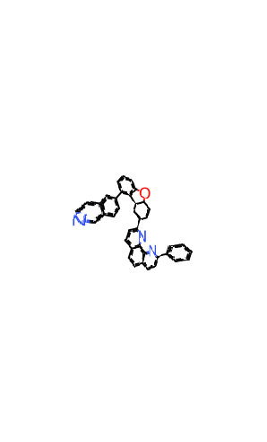 C1=CC2Oc3cccc(-c4ccc5cnccc5c4)c3C2C=C1c1ccc2ccc3ccc(-c4ccccc4)nc3c2n1